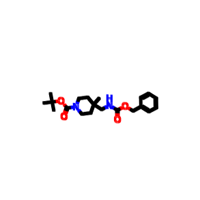 CC1(CNC(=O)OCc2ccccc2)CCN(C(=O)OC(C)(C)C)CC1